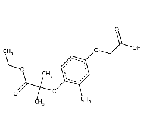 CCOC(=O)C(C)(C)Oc1ccc(OCC(=O)O)cc1C